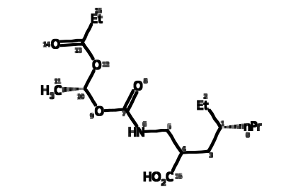 CCC[C@@H](CC)CC(CNC(=O)O[C@H](C)OC(=O)CC)C(=O)O